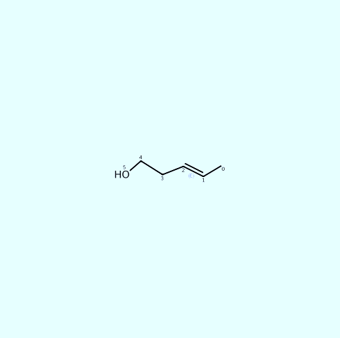 C/C=C/CCO